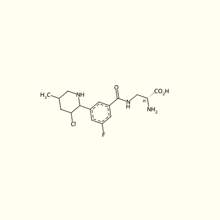 CC1CNC(c2cc(F)cc(C(=O)NC[C@@H](N)C(=O)O)c2)C(Cl)C1